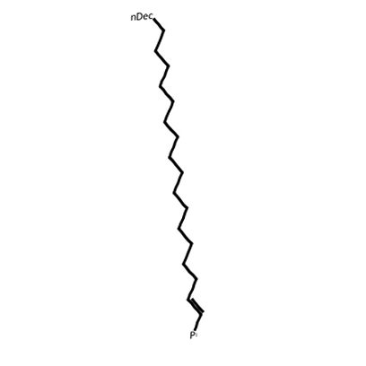 CCCCCCCCCCCCCCCCCCCCCCCCCC=C[P]